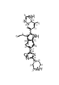 CCc1c(C2=CN3N=CNC3C(C)=C2)[nH]c2cc(-c3nc(N4CCNCC4)no3)sc12